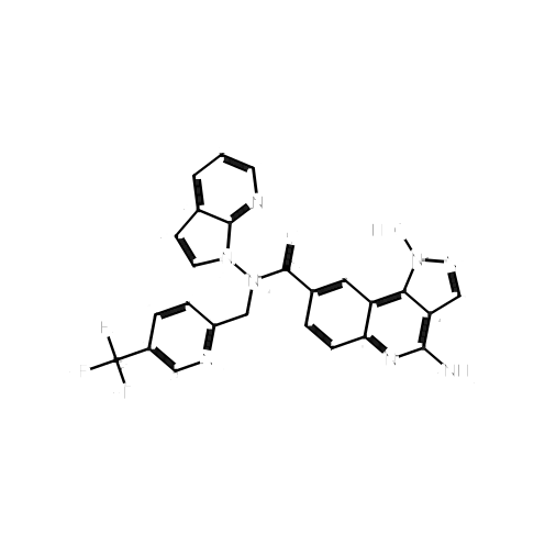 Cn1ncc2c(N)nc3ccc(C(=O)N(Cc4ccc(C(F)(F)F)cn4)n4ccc5cccnc54)cc3c21